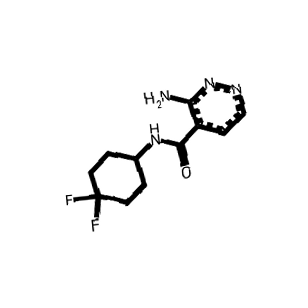 Nc1nnccc1C(=O)NC1CCC(F)(F)CC1